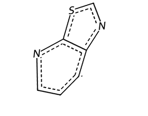 [c]1ccnc2scnc12